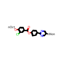 CCCCCCCCCc1cnc(-c2ccc(OC(=O)c3ccc(OCCCCCCCC)c(Cl)c3)cc2)nc1